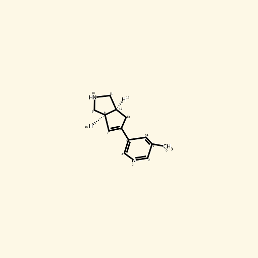 Cc1cncc(C2=C[C@H]3CNC[C@H]3C2)c1